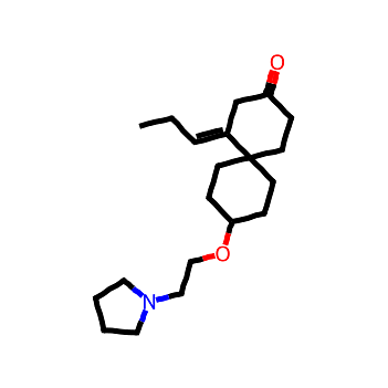 CCC=C1CC(=O)CCC12CCC(OCCN1CCCC1)CC2